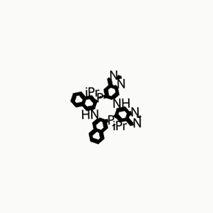 CC(C)P1c2cc3ccccc3cc2Nc2cc3ccccc3cc2P(C(C)C)c2cc3cncnc3cc2Nc2cc3ncncc3cc21